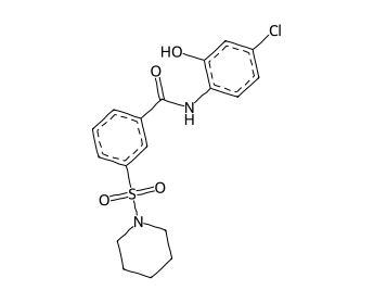 O=C(Nc1ccc(Cl)cc1O)c1cccc(S(=O)(=O)N2CCCCC2)c1